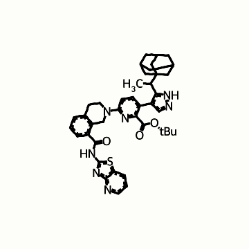 CC(c1[nH]ncc1-c1ccc(N2CCc3cccc(C(=O)Nc4nc5ncccc5s4)c3C2)nc1C(=O)OC(C)(C)C)C12CC3CC(CC(C3)C1)C2